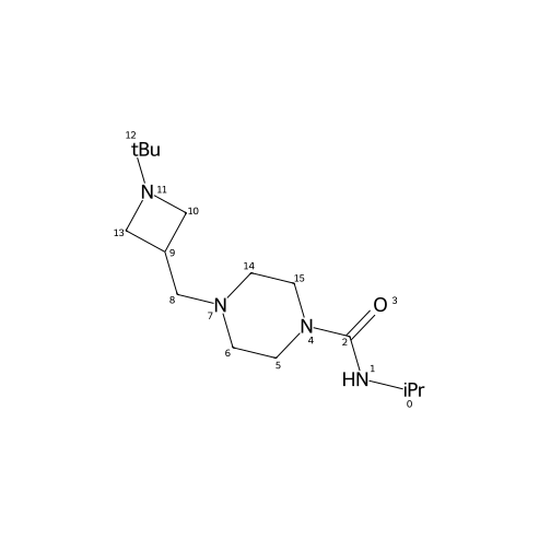 CC(C)NC(=O)N1CCN(CC2CN(C(C)(C)C)C2)CC1